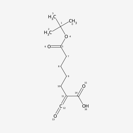 CC(C)(C)OC(=O)CCCCC(=C=O)C(=O)O